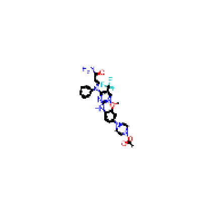 COc1cc(N2CCN(OC(C)=O)CC2)ccc1Nc1ncc(C(F)(F)F)c(N(C=CC(N)=O)c2ccccc2)n1